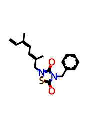 C=C/C(C)=C\C=C(/C)Cn1sc(=O)n(Cc2ccccc2)c1=O